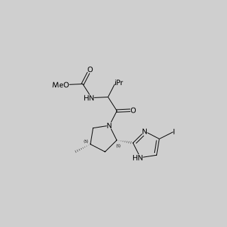 COC(=O)NC(C(=O)N1C[C@@H](C)C[C@H]1c1nc(I)c[nH]1)C(C)C